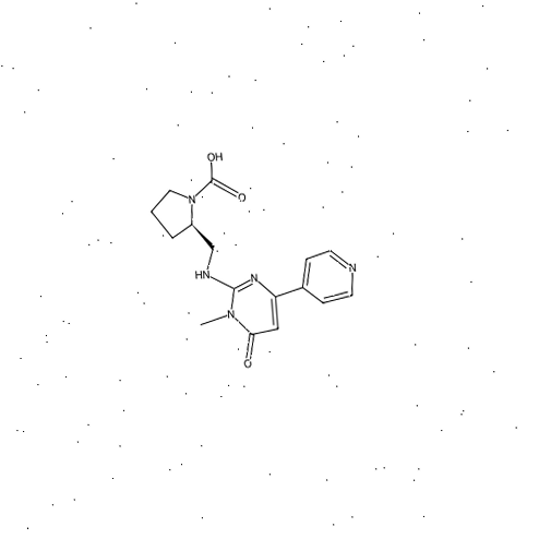 Cn1c(NC[C@H]2CCCN2C(=O)O)nc(-c2ccncc2)cc1=O